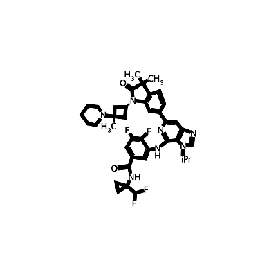 CC(C)n1cnc2cc(-c3ccc4c(c3)N([C@H]3C[C@@](C)(N5CCCCC5)C3)C(=O)C4(C)C)nc(Nc3cc(C(=O)NC4(C(F)F)CC4)cc(F)c3F)c21